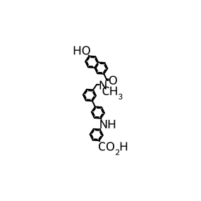 CN(Cc1cccc(-c2ccc(Nc3cccc(C(=O)O)c3)cc2)c1)C(=O)c1ccc2cc(O)ccc2c1